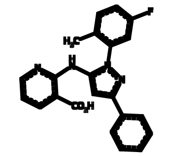 Cc1ccc(F)cc1-n1nc(-c2ccccc2)cc1Nc1ncccc1C(=O)O